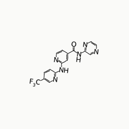 O=C(Nc1cnccn1)c1ccnc(Nc2ccc(C(F)(F)F)cn2)c1